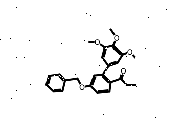 CCC(=O)c1ccc(OCc2ccccc2)cc1-c1cc(OC)c(OC)c(OC)c1